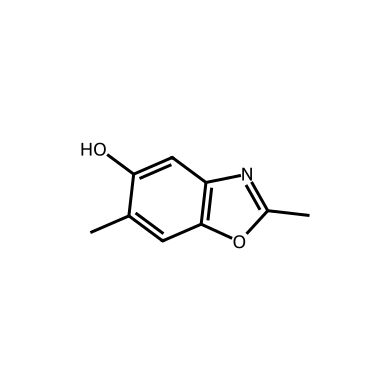 Cc1nc2cc(O)c(C)cc2o1